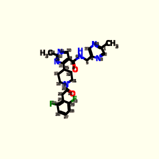 Cc1cnc(CNC(=O)c2cnc(C)nc2C2CCN(C(=O)Cc3c(F)cccc3F)CC2)cn1